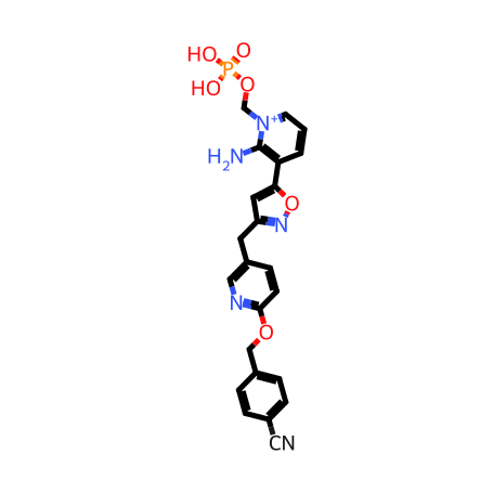 N#Cc1ccc(COc2ccc(Cc3cc(-c4ccc[n+](COP(=O)(O)O)c4N)on3)cn2)cc1